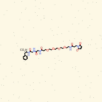 O=C(CCN1C(=O)C=CC1=O)NCCOCCOCCOCCOCCC(=O)NCC(=O)NCC(=O)N[C@@H](Cc1ccccc1)C(=O)O